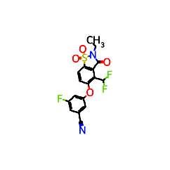 CCN1C(=O)c2c(ccc(Oc3cc(F)cc(C#N)c3)c2C(F)F)S1(=O)=O